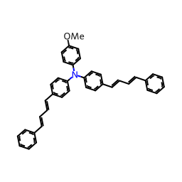 COc1ccc(N(c2ccc(/C=C/C=C/c3ccccc3)cc2)c2ccc(/C=C/C=C/c3ccccc3)cc2)cc1